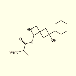 CCCCCC(C)C(=O)OC1NCC12CC(O)(C1CCCCC1)C2